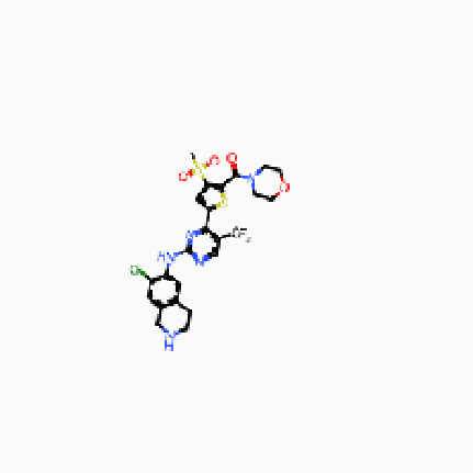 CS(=O)(=O)c1cc(-c2nc(Nc3cc4c(cc3Cl)CNCC4)ncc2C(F)(F)F)sc1C(=O)N1CCOCC1